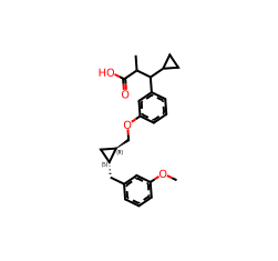 COc1cccc(C[C@@H]2C[C@H]2COc2cccc(C(C3CC3)C(C)C(=O)O)c2)c1